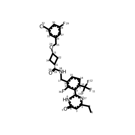 CCc1cc(=O)[nH]c(-c2c(C(F)(F)F)ccc(CNC(=O)[C@H]3C[C@H](OCc4cc(F)cc(Cl)c4)C3)c2F)n1